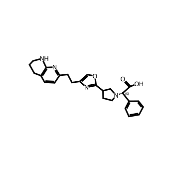 O=C(O)[C@H](c1ccccc1)N1CCC(c2nc(CCc3ccc4c(n3)NCCC4)co2)C1